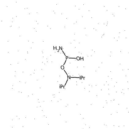 CC(C)N(OP(N)O)C(C)C